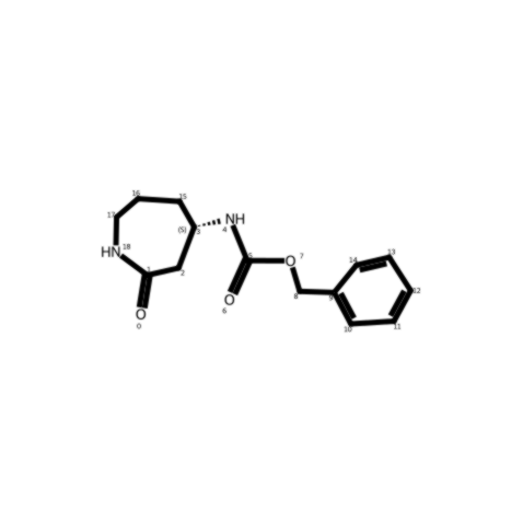 O=C1C[C@@H](NC(=O)OCc2ccccc2)CCCN1